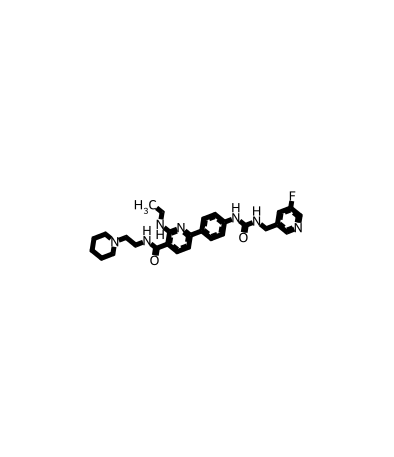 CCNc1nc(-c2ccc(NC(=O)NCc3cncc(F)c3)cc2)ccc1C(=O)NCCN1CCCCC1